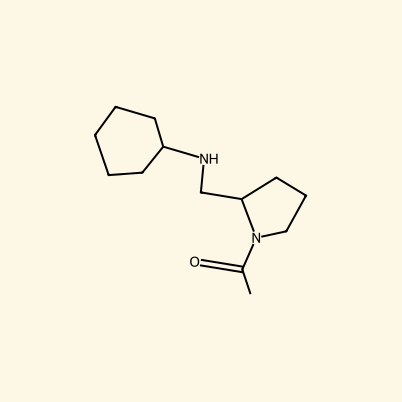 CC(=O)N1CCCC1CNC1CCCCC1